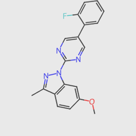 COc1ccc2c(C)nn(-c3ncc(-c4ccccc4F)cn3)c2c1